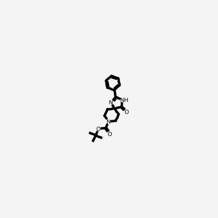 CC(C)(C)OC(=O)N1CCC2(CC1)N=C(c1ccccc1)NC2=O